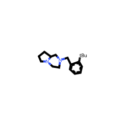 CC(C)(C)c1ccccc1CN1CCN2CCCC2C1